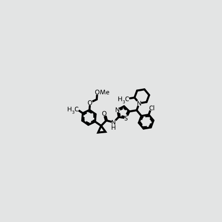 COCOc1cc(C2(C(=O)Nc3ncc(C(c4ccccc4Cl)N4CCCCC4C)s3)CC2)ccc1C